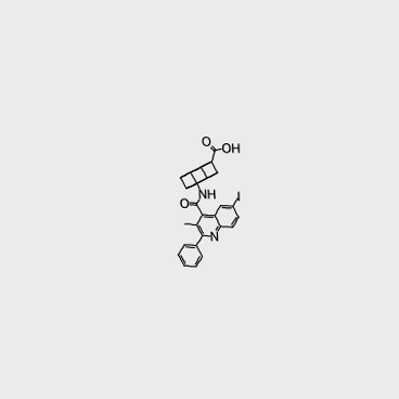 Cc1c(-c2ccccc2)nc2ccc(I)cc2c1C(=O)NC12C3C4C1C1C2C3C41C(=O)O